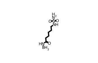 BNC(=O)CCCCCNS(N)(=O)=O